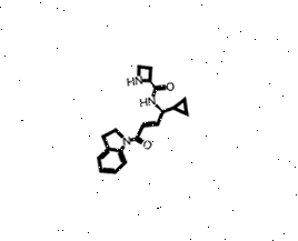 O=C(N[C@H](C=CC(=O)N1CCc2ccccc21)C1CC1)[C@@H]1CCN1